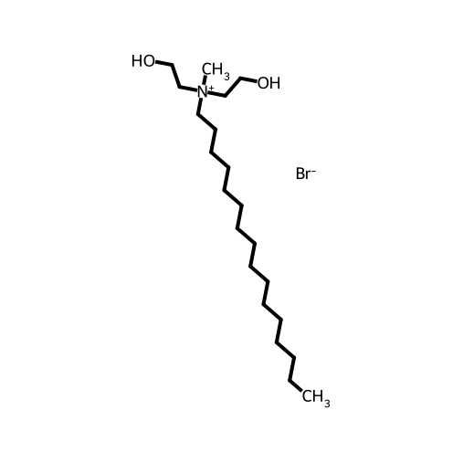 CCCCCCCCCCCCCCCC[N+](C)(CCO)CCO.[Br-]